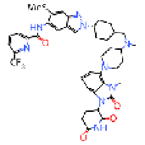 CSc1cc2nn([C@H]3CC[C@H](CN(C)C4CCN(c5cccc6c5n(C)c(=O)n6C5CCC(=O)NC5=O)CC4)CC3)cc2cc1NC(=O)c1cccc(C(F)(F)F)n1